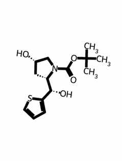 CC(C)(C)OC(=O)N1C[C@@H](O)C[C@H]1[C@H](O)c1cccs1